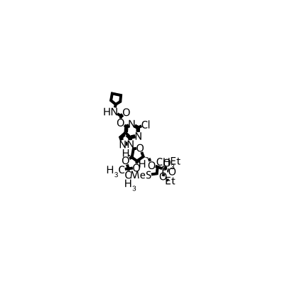 CCOP(=O)(OCC)C(C)(CSC)OC[C@H]1O[C@@H](n2ncc3c(OC(=O)NC4CCCC4)nc(Cl)nc32)[C@@H]2OC(C)(C)O[C@@H]21